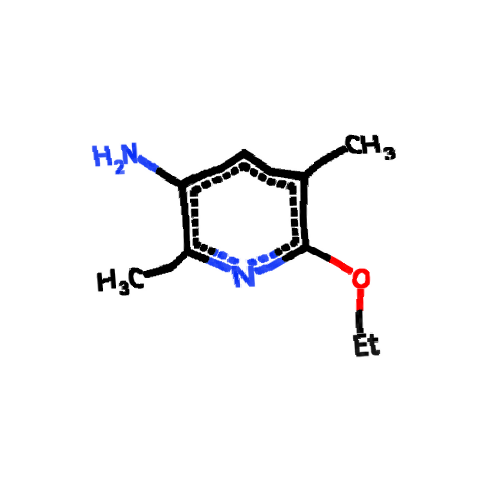 CCOc1nc(C)c(N)cc1C